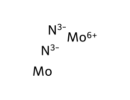 [Mo+6].[Mo].[N-3].[N-3]